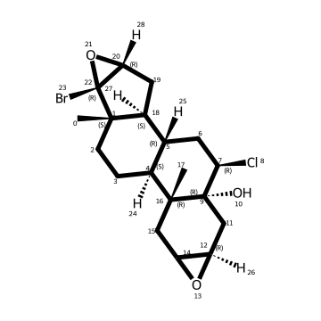 C[C@]12CC[C@H]3[C@@H](C[C@@H](Cl)[C@@]4(O)C[C@H]5OC5C[C@]34C)[C@@H]1C[C@H]1O[C@]12Br